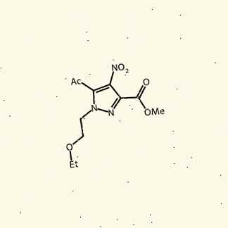 CCOCCn1nc(C(=O)OC)c([N+](=O)[O-])c1C(C)=O